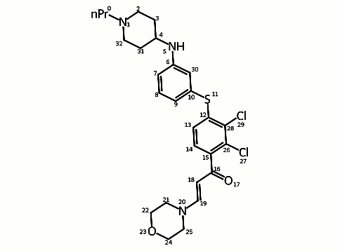 CCCN1CCC(Nc2cccc(Sc3ccc(C(=O)C=CN4CCOCC4)c(Cl)c3Cl)c2)CC1